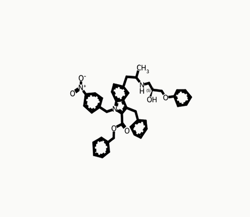 CC(Cc1ccc2c(c1)c(Cc1ccccc1)c(C(=O)OCc1ccccc1)n2Cc1ccc([N+](=O)[O-])cc1)NC[C@H](O)COc1ccccc1